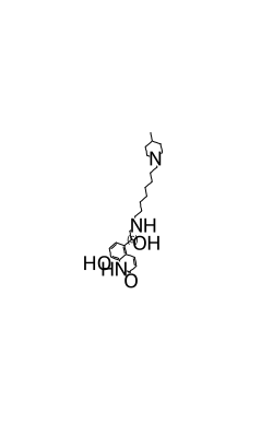 CC1CCN(CCCCCCCCNC[C@@H](O)c2ccc(O)c3[nH]c(=O)ccc23)CC1